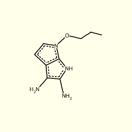 CCCOn1ccc2c(N)c(N)[nH]c21